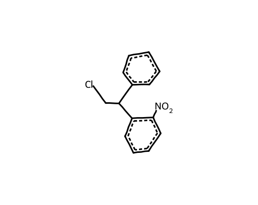 O=[N+]([O-])c1ccccc1C(CCl)c1ccccc1